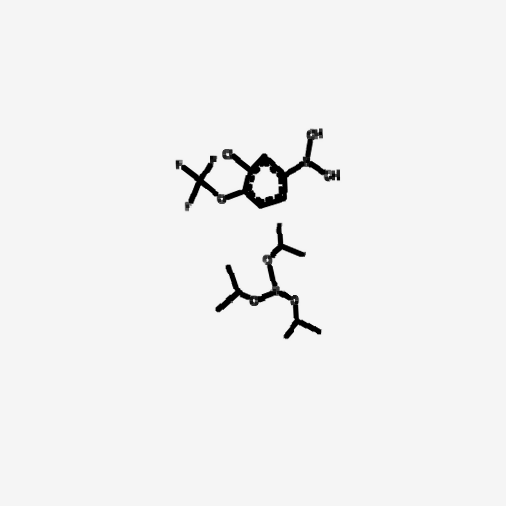 CC(C)OB(OC(C)C)OC(C)C.OB(O)c1ccc(OC(F)(F)F)c(Cl)c1